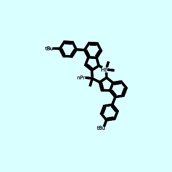 CCCC1(C)C2=Cc3c(-c4ccc(C(C)(C)C)cc4)cccc3[CH]2[Hf]([CH3])([CH3])[CH]2C1=Cc1c(-c3ccc(C(C)(C)C)cc3)cccc12